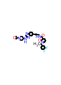 C[C@@H](c1ccc(F)c(F)c1)n1cccc(C(=O)NCC#Cc2ccc3ncc(NC4CCN(C5COC5)CC4)nc3c2)c1=O